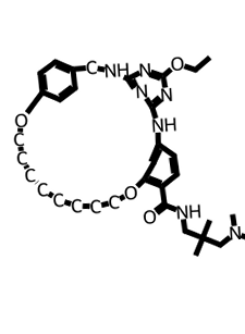 CCOc1nc2nc(n1)Nc1ccc(C(=O)NCC(C)(C)CN(C)C)c(c1)OCCCCCCCCOc1ccc(cc1)CN2